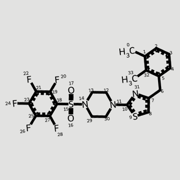 Cc1cccc(Cc2csc(N3CCN(S(=O)(=O)c4c(F)c(F)c(F)c(F)c4F)CC3)n2)c1C